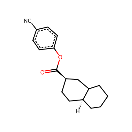 N#Cc1ccc(OC(=O)[C@@H]2CC[C@@H]3CCCCC3C2)cc1